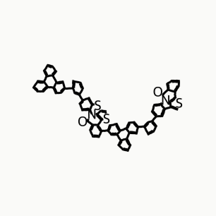 O=c1c2cccc(-c3ccc4c5ccc(-c6cccc(-c7ccc8c(c7)c7csc9c%10ccccc%10c(=O)n8c79)c6)cc5c5ccccc5c4c3)c2c2scc3c2n1-c1ccc(-c2cccc(-c4ccc5c6ccccc6c6ccccc6c5c4)c2)cc1S3